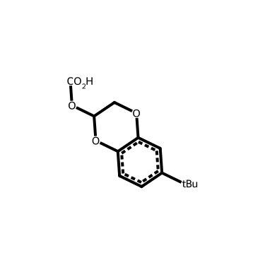 CC(C)(C)c1ccc2c(c1)OCC(OC(=O)O)O2